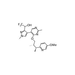 COc1ccc([C@@H](C)[C@H](C)COc2nc(C)ncc2-c2cn(C)nc2C(O)C(F)(F)F)nc1